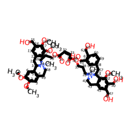 COc1cc2c(cc1OC)C(Cc1cc(CO)c(OC)c(OC)c1)[N+](C)(CCCOC(=O)/C=C\C(=O)OCCC[N+]1(C)CCc3cc(CO)c(CO)c(OC)c3C1Cc1ccc(CO)c(CO)c1)CC2